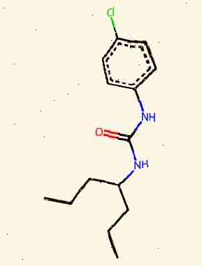 CCCC(CCC)NC(=O)Nc1ccc(Cl)cc1